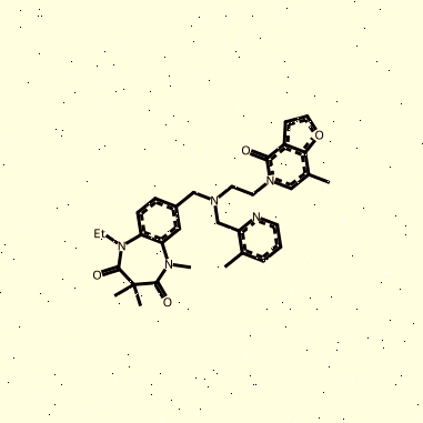 CCN1C(=O)C(C)(C)C(=O)N(C)c2cc(CN(CCn3cc(C)c4occc4c3=O)Cc3ncccc3C)ccc21